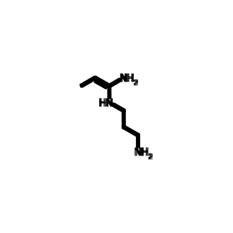 CC=C(N)NCCCN